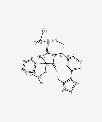 Cc1ncoc1-c1cccc([C@@H](CO)N2C(=O)C(CC(C)C)(c3ccccc3)NC2=NC(=O)O)c1